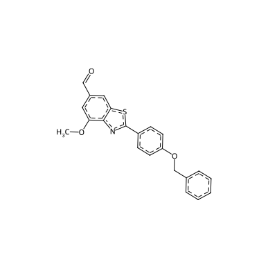 COc1cc(C=O)cc2sc(-c3ccc(OCc4ccccc4)cc3)nc12